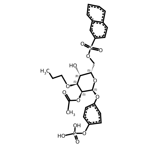 CCCO[C@H]1[C@H](O)[C@H](COS(=O)(=O)c2ccc3ccccc3c2)O[C@@H](Oc2ccc(OP(=O)(O)O)cc2)[C@H]1OC(C)=O